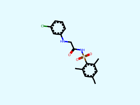 Cc1cc(C)c(S(=O)(=O)NC(=O)CNc2cccc(Cl)c2)c(C)c1